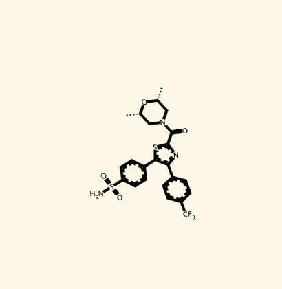 C[C@@H]1CN(C(=O)c2nc(-c3ccc(C(F)(F)F)cc3)c(-c3ccc(S(N)(=O)=O)cc3)s2)C[C@H](C)O1